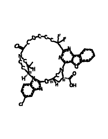 C[C@H]1CN2CC[C@@H]1n1c(nc3cc(Cl)ccc31)O[C@H]1C[C@@H](C(=O)O)N(C1)c1nc(nc3c1oc1ccccc13)C(F)(F)CCCOCC2=O